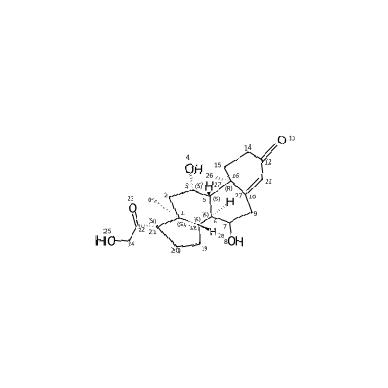 C[C@]12C[C@H](O)[C@H]3[C@@H](C(O)CC4=CC(=O)CC[C@@]43C)[C@@H]1CC[C@@H]2C(=O)CO